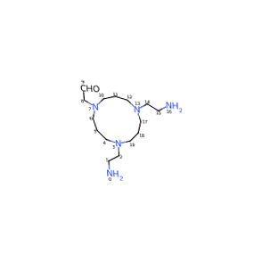 NCCN1CCCN(CC=O)CCCN(CCN)CCC1